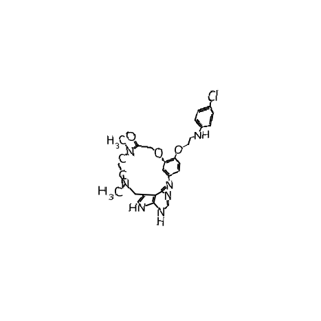 CN1CCCN(C)C(=O)COc2cc(ccc2OCCNc2ccc(Cl)cc2)/N=C2/N=CNc3[nH]cc(c32)C1